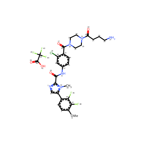 COc1ccc(-c2cnc(C(=O)Nc3ccc(C(=O)N4CCN(C(=O)CCCN)CC4)c(Cl)c3)n2C)c(F)c1F.O=C(O)C(F)(F)F